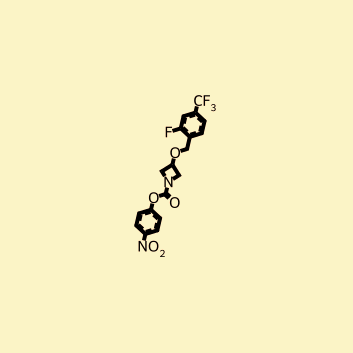 O=C(Oc1ccc([N+](=O)[O-])cc1)N1CC(OCc2ccc(C(F)(F)F)cc2F)C1